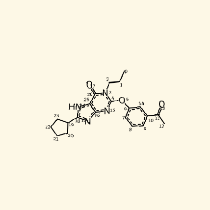 CCCn1c(Oc2cccc(C(C)=O)c2)nc2nc(C3CCCC3)[nH]c2c1=O